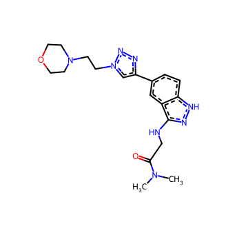 CN(C)C(=O)CNc1n[nH]c2ccc(-c3cn(CCN4CCOCC4)nn3)cc12